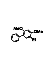 CCc1cc(-c2ccccc2)c(OC)cc1OC